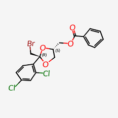 O=C(OC[C@@H]1CO[C@](CBr)(c2ccc(Cl)cc2Cl)O1)c1ccccc1